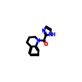 O=C(c1ncc[nH]1)N1CCCc2ccccc21